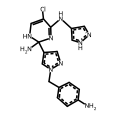 Nc1ccc(Cn2cc(C3(N)N=C(Nc4cn[nH]c4)C(Cl)=CN3)cn2)cc1